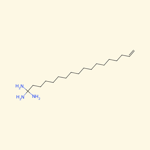 C=CCCCCCCCCCCCCCCCC(N)(N)N